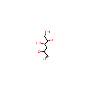 O=CC(=O)CC(O)C(O)CO